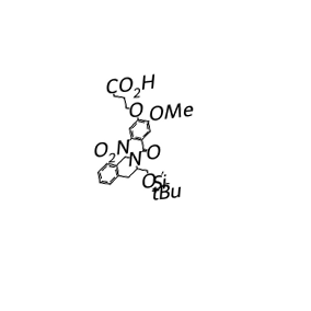 COc1cc(C(=O)N2Cc3ccccc3CC2CO[Si](C)(C)C(C)(C)C)c([N+](=O)[O-])cc1OCCCC(=O)O